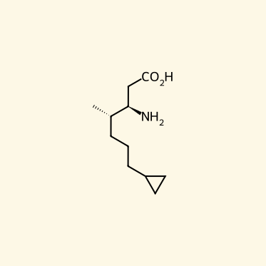 C[C@@H](CCCC1CC1)[C@H](N)CC(=O)O